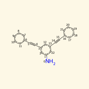 Nc1cc(C#Cc2ccccc2)cc(C#Cc2ccccc2)c1